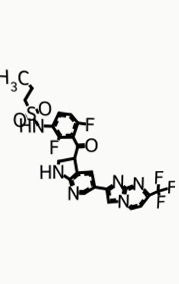 CCCS(=O)(=O)Nc1ccc(F)c(C(=O)C2CNc3ncc(-c4cn5ccc(C(F)(F)F)nc5n4)cc32)c1F